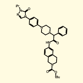 CC(C)n1ncn(-c2ccc(N3CCN(C(C(=O)Nc4ccc5c(c4)CCN(C(=O)OC(C)(C)C)C5)c4ccccc4)CC3)cc2)c1=O